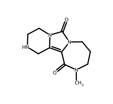 CN1CCCn2c(c3n(c2=O)CCNC3)C1=O